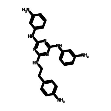 Nc1ccc(CCNc2nc(Nc3cccc(N)c3)nc(Nc3cccc(N)c3)n2)cc1